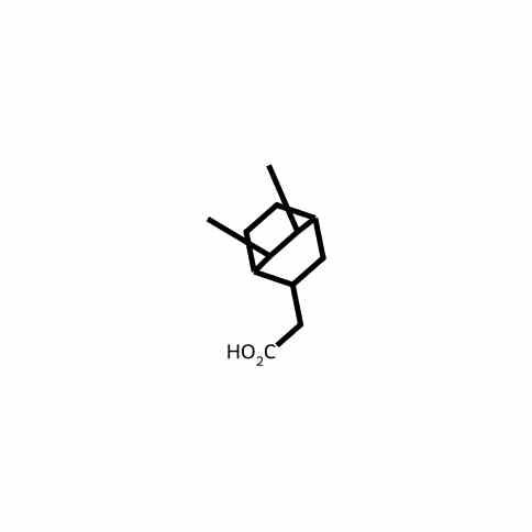 CC1C2CCC(C(CC(=O)O)C2)C1C